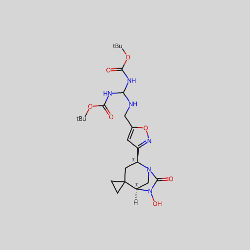 CC(C)(C)OC(=O)NC(NCc1cc([C@@H]2CC3(CC3)[C@H]3CN2C(=O)N3O)no1)NC(=O)OC(C)(C)C